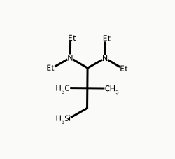 CCN(CC)C(N(CC)CC)C(C)(C)C[SiH3]